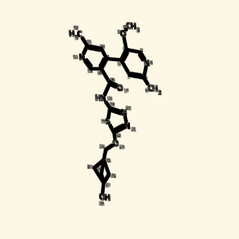 COc1cnc(C)cc1-c1cc(C)ncc1C(=O)Nc1nnc(OCC23CC(O)(C2)C3)s1